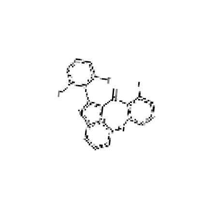 CCc1cccc2nc(-c3c(F)cccc3F)c(Nc3c(C)cccc3C)n12